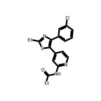 CCC(=O)Nc1cc(-c2sc(CC)nc2-c2cccc(Cl)c2)ccn1